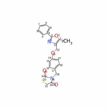 Cc1oc(-c2ccccc2)nc1COc1ccc(CN2C(=O)CSC2=O)cc1